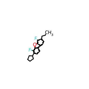 CCCc1ccc2c(oc3c(F)c(C4CCCC4)ccc32)c1F